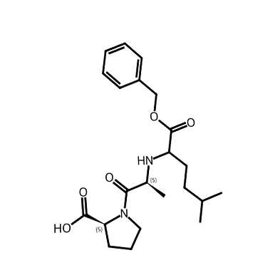 CC(C)CCC(N[C@@H](C)C(=O)N1CCC[C@H]1C(=O)O)C(=O)OCc1ccccc1